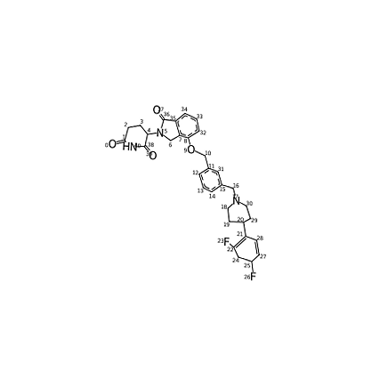 O=C1CCC(N2Cc3c(OCc4cccc(CN5CCC(C6=C(F)CC(F)C=C6)CC5)c4)cccc3C2=O)C(=O)N1